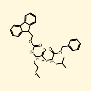 CSCC[C@H](NC(=O)OCC1c2ccccc2-c2ccccc21)C(=O)N[C@@H](CC(C)C)C(=O)OCc1ccccc1